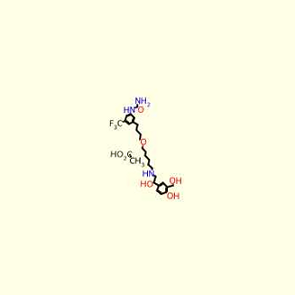 CC(=O)O.NC(=O)Nc1cc(CCCCOCCCCCCNC[C@H](O)c2ccc(O)c(CO)c2)cc(C(F)(F)F)c1